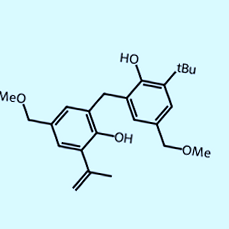 C=C(C)c1cc(COC)cc(Cc2cc(COC)cc(C(C)(C)C)c2O)c1O